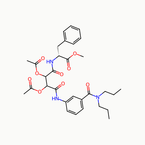 CCCN(CCC)C(=O)c1cccc(NC(=O)C(OC(C)=O)C(OC(C)=O)C(=O)N[C@H](Cc2ccccc2)C(=O)OC)c1